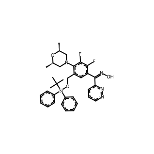 C[C@@H]1CN(c2c(CO[Si](c3ccccc3)(c3ccccc3)C(C)(C)C)cc(/C(=N/O)c3cccnn3)c(F)c2F)C[C@H](C)O1